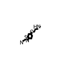 CNCCCOc1ccc2nc(C#N)sc2c1